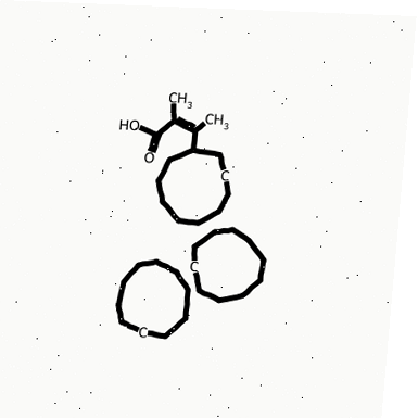 C1CCCCCCCCC1.C1CCCCCCCCC1.CC(C(=O)O)=C(C)C1CCCCCCCCC1